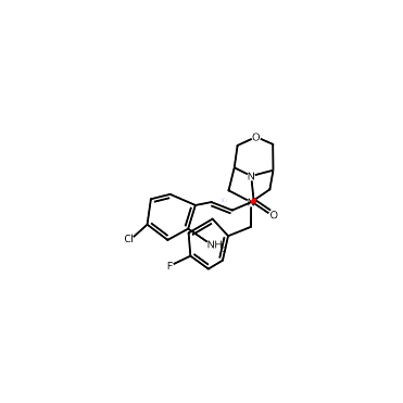 Nc1cc(Cl)ccc1/C=C/C(=O)N1C2COCC1CN(Cc1ccc(F)cc1)C2